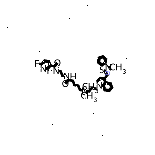 CN1/C(=C/c2cc[n+](CCC[N+](C)(C)CCCCC(=O)NCCNC(=O)c3ccc(F)nc3)c3ccccc23)Sc2ccccc21